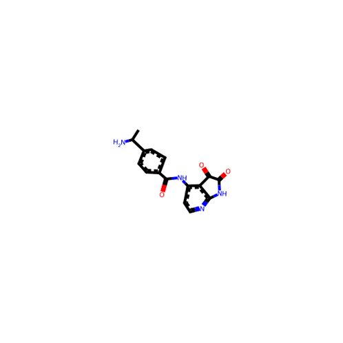 CC(N)c1ccc(C(=O)Nc2ccnc3c2C(=O)C(=O)N3)cc1